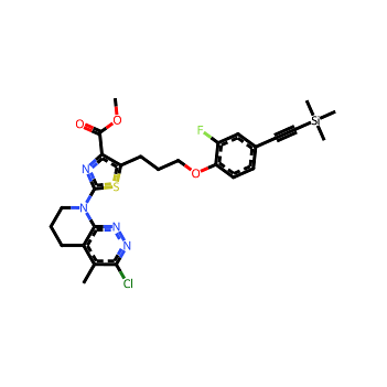 COC(=O)c1nc(N2CCCc3c2nnc(Cl)c3C)sc1CCCOc1ccc(C#C[Si](C)(C)C)cc1F